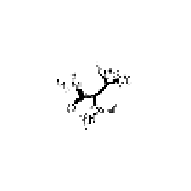 CC(C)C(BN)C(N)=O